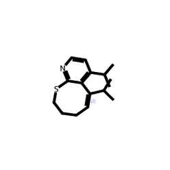 CC(C)/C1=C/CCCSc2nccc(C(C)C)c21